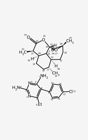 CCc1nc(N)nc(N)c1-c1ccc(Cl)cc1.C[C@@H]1CC[C@H]2[C@@H](C)C(=O)O[C@@H]3O[C@@]4(C)CC[C@@H]1[C@]32OO4